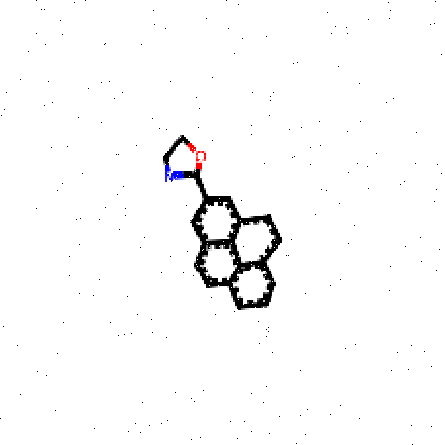 c1cc2ccc3cc(C4=NCCO4)cc4ccc(c1)c2c34